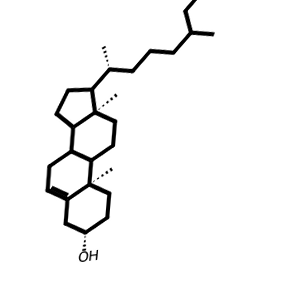 CC(CO)CCC[C@@H](C)C1CCC2C3CC=C4C[C@@H](O)CC[C@]4(C)C3CC[C@@]21C